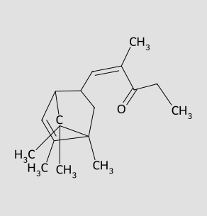 CCC(=O)C(C)=CC1CC2(C)C(C)=CC1CC2(C)C